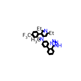 CCc1cc(N(C)c2ccc(-c3ccccc3-c3nnn[nH]3)cc2)c(-c2ccc(C(F)(F)F)cc2)c(CC)n1